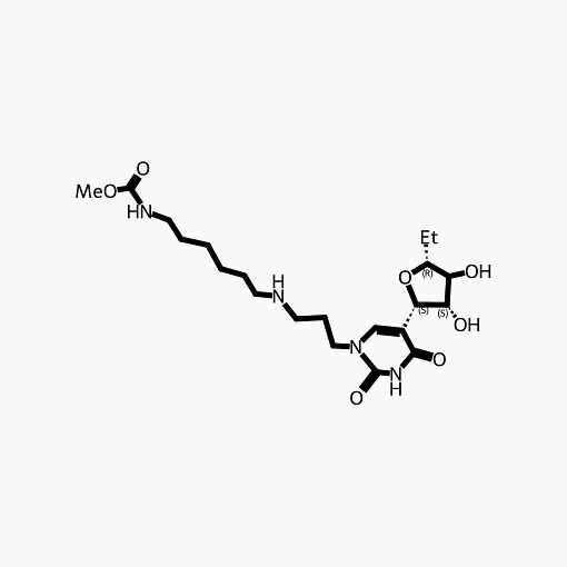 CC[C@H]1O[C@@H](c2cn(CCCNCCCCCCNC(=O)OC)c(=O)[nH]c2=O)[C@@H](O)C1O